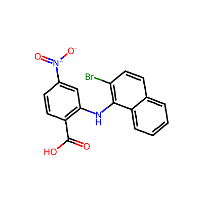 O=C(O)c1ccc([N+](=O)[O-])cc1Nc1c(Br)ccc2ccccc12